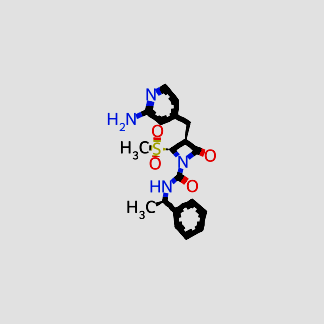 C[C@@H](NC(=O)N1C(=O)[C@H](Cc2ccnc(N)c2)[C@H]1S(C)(=O)=O)c1ccccc1